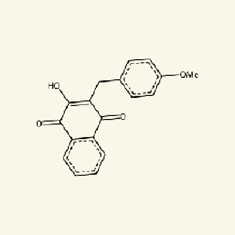 COc1ccc(CC2=C(O)C(=O)c3ccccc3C2=O)cc1